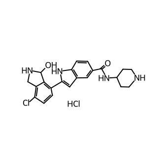 Cl.O=C(NC1CCNCC1)c1ccc2[nH]c(-c3ccc(Cl)c4c3C(O)NC4)cc2c1